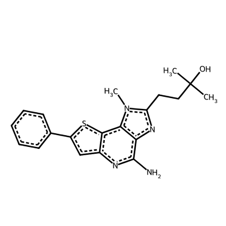 Cn1c(CCC(C)(C)O)nc2c(N)nc3cc(-c4ccccc4)sc3c21